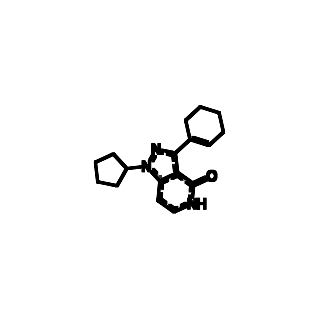 O=c1[nH]ccc2c1c(C1=CCCCC1)nn2C1CCCC1